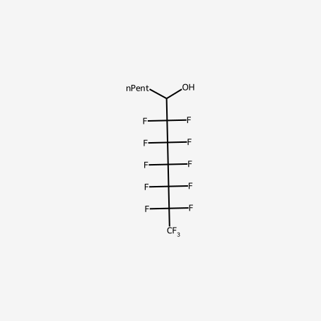 CCCCCC(O)C(F)(F)C(F)(F)C(F)(F)C(F)(F)C(F)(F)C(F)(F)F